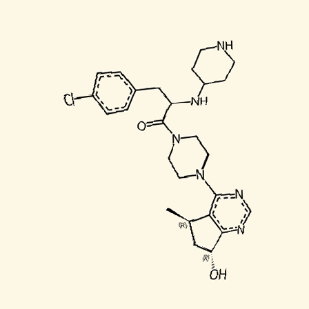 C[C@@H]1C[C@@H](O)c2ncnc(N3CCN(C(=O)C(Cc4ccc(Cl)cc4)NC4CCNCC4)CC3)c21